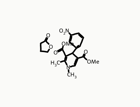 COC(=O)C1=CN(C)C(C)=C(C(=O)OC)C1c1cccc([N+](=O)[O-])c1.O=C1CCCO1